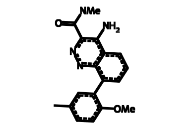 CNC(=O)c1nnc2c(-c3cc(C)ccc3OC)cccc2c1N